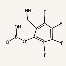 NCc1c(F)c(F)c(F)c(F)c1OB(O)O